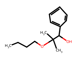 CCCCOC(C)(C)C(O)c1ccccc1